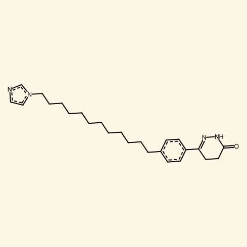 O=C1CCC(c2ccc(CCCCCCCCCCCCn3ccnc3)cc2)=NN1